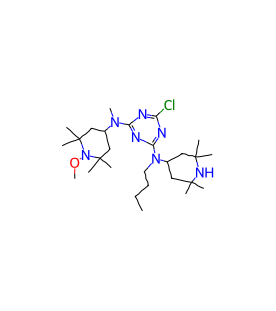 CCCCN(c1nc(Cl)nc(N(C)C2CC(C)(C)N(OC)C(C)(C)C2)n1)C1CC(C)(C)NC(C)(C)C1